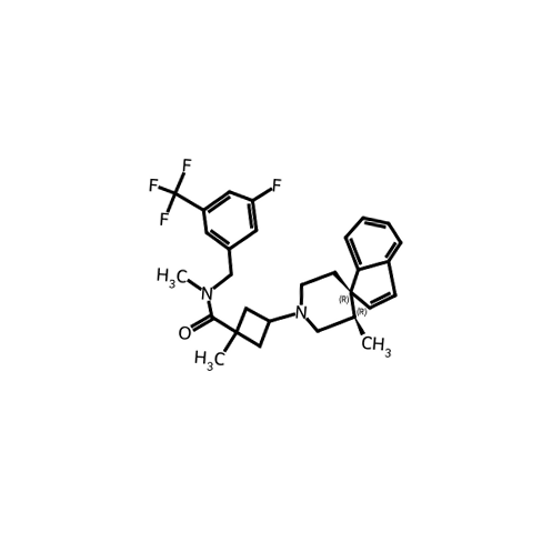 C[C@H]1CN(C2CC(C)(C(=O)N(C)Cc3cc(F)cc(C(F)(F)F)c3)C2)CC[C@@]12C=Cc1ccccc12